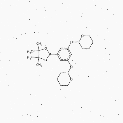 CC1(C)OB(c2cc(OC3CCCCO3)cc(OC3CCCCO3)c2)OC1(C)C